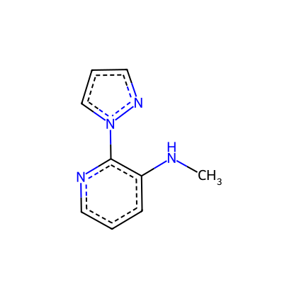 CNc1cccnc1-n1cccn1